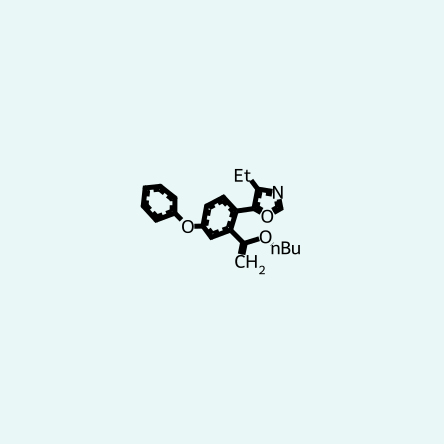 C=C(OCCCC)c1cc(Oc2ccccc2)ccc1-c1ocnc1CC